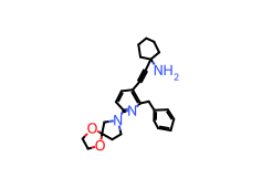 NC1(C#Cc2ccc(N3CCC4(C3)OCCO4)nc2Cc2ccccc2)CCCCC1